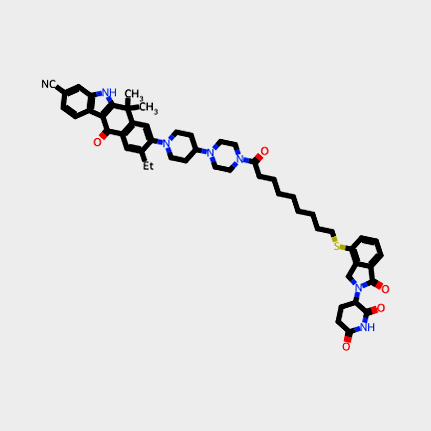 CCc1cc2c(cc1N1CCC(N3CCN(C(=O)CCCCCCCCSc4cccc5c4CN(C4CCC(=O)NC4=O)C5=O)CC3)CC1)C(C)(C)c1[nH]c3cc(C#N)ccc3c1C2=O